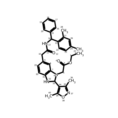 CCOC(=O)CN1c2cc(CC(=O)NC(c3ccccc3)c3ccc(C)cc3C)ccc2NC1c1c(C)noc1C